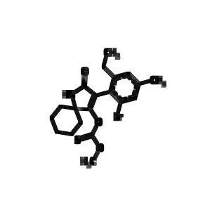 CCc1cc(C)cc(Br)c1C1=C(OC(=S)OC)C2(CCCCC2)NC1=O